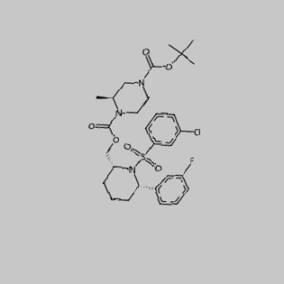 C[C@H]1CN(C(=O)OC(C)(C)C)CCN1C(=O)OC[C@H]1CCC[C@@H](c2cccc(F)c2)N1S(=O)(=O)c1cccc(Cl)c1